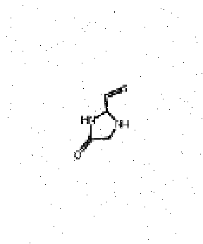 O=C1CNC([C]=S)N1